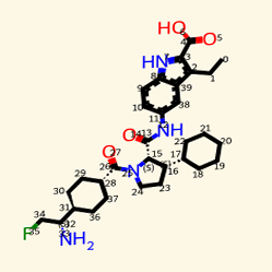 CCc1c(C(=O)O)[nH]c2ccc(NC(=O)[C@@H]3[C@H](C4CCCCC4)CCN3C(=O)[C@H]3CC[C@H]([C@H](N)CF)CC3)cc12